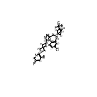 Fc1cnc(N2CC3(CC(c4nnc5n4-c4ccc(Cl)cc4CN(C46CC7(C(F)(F)F)CC47C6)C5)C3)C2)c(F)c1